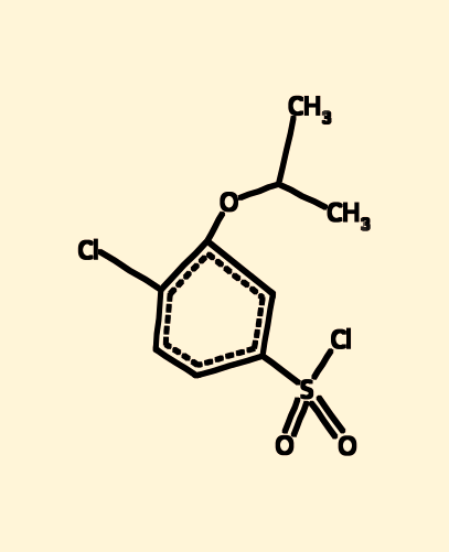 CC(C)Oc1cc(S(=O)(=O)Cl)ccc1Cl